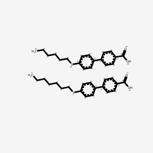 CCCCCCCSc1ccc(-c2ccc(C(=O)O)cc2)cc1.CCCCCCSc1ccc(-c2ccc(C(=O)O)cc2)cc1